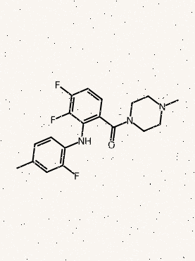 Cc1ccc(Nc2c(C(=O)N3CCN(C)CC3)ccc(F)c2F)c(F)c1